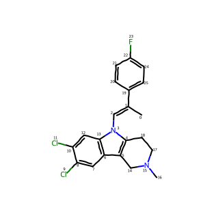 CC(=Cn1c2c(c3cc(Cl)c(Cl)cc31)CN(C)CC2)c1ccc(F)cc1